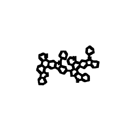 c1ccc(-n2c3cc(-c4cc5sc6ccccc6c5c5c6cc7c8ccccc8n(-c8ccccc8)c7cc6c6ncccc6c45)ccc3c3cc4c(cc32)c2ncccc2c2ccc3c5ccccc5sc3c24)cc1